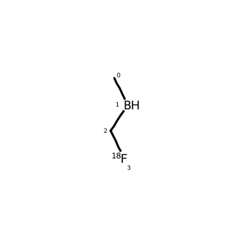 CBC[18F]